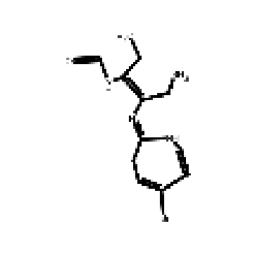 BCC(/N=C1/CC=C(Br)C=CN1)=C(\CC)NC=O